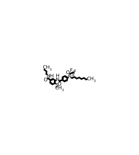 CCCCCCCCN(C(=O)C(F)(F)F)c1ccc(C(=O)Nc2cc(C(=O)NCCCC)ccc2SC)cc1